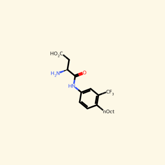 CCCCCCCCc1ccc(NC(=O)[C@@H](N)CC(=O)O)cc1C(F)(F)F